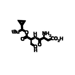 CC(C)(C)C(OC(=O)[C@H](CO)NC(=O)[C@@H](N)CC(=O)O)C1CC1